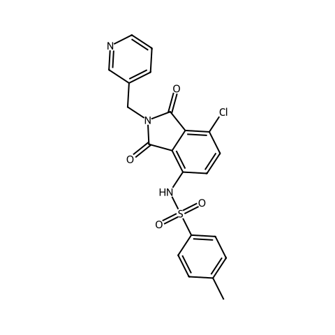 Cc1ccc(S(=O)(=O)Nc2ccc(Cl)c3c2C(=O)N(Cc2cccnc2)C3=O)cc1